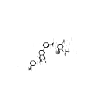 COc1c(NC(=O)c2ccc(C)c(-c3ccc4nc(Nc5cccc(P(C)(C)=O)c5)ncc4c3)c2)cc(C(C)(C)C)cc1NS(C)(=O)=O